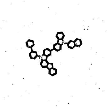 c1ccc(-c2cccc(-n3c4ccc(-c5ccc6c(c5)c5ccccc5n6-c5ccc6ccccc6c5)cc4c4c5c(ccc43)-c3ccccc3C5)c2)cc1